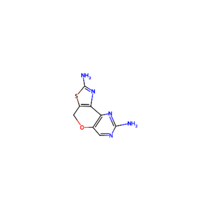 Nc1ncc2c(n1)-c1nc(N)sc1CO2